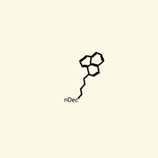 CCCCCCCCCCCCCCC1C=Cc2cccc3cccc1c23